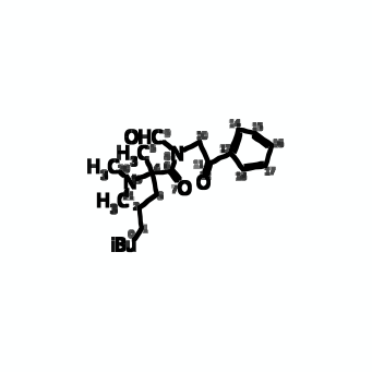 CCC(C)CCCC(C)(C(=O)N(C=O)CC(=O)c1ccccc1)N(C)C